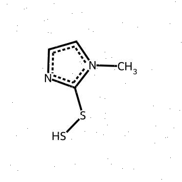 Cn1ccnc1SS